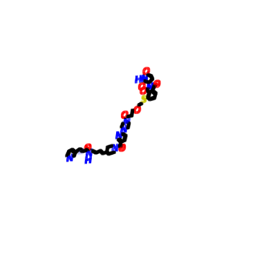 O=C(/C=C/c1cccnc1)NCCCCC1CCN(C(=O)c2ccc(N3CCN(C(=O)CCOCCSc4cccc5c4C(=O)N(C4CCC(=O)NC4=O)C5=O)CC3)nc2)CC1